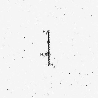 CCCCCCCCCCCCOCCCCCCCCCCCCCC(O[SiH3])OCCCCCCCCCCCC